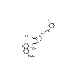 COc1ccc2nccc([C@@H](O)CC[C@@H]3CCN(CCCSc4cccc(F)n4)C[C@@H]3CC(=O)O)c2c1